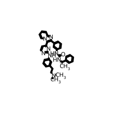 C[C@H](NC(=O)Nc1cccc(-c2nc3ccccn3c2-c2ccnc(Nc3cccc(CCN(C)C)c3)n2)c1)c1ccccc1